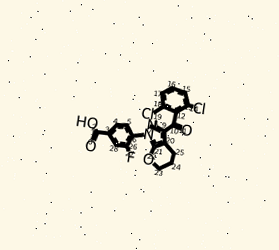 O=C(O)c1ccc(-n2nc(C(=O)c3c(Cl)cccc3Cl)c3c2OCCC3)c(F)c1